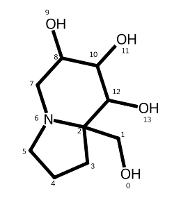 OCC12CCCN1CC(O)C(O)C2O